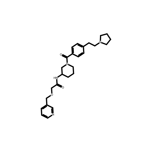 O=C(COCc1cccnc1)NC1CCCN(C(=O)c2ccc(CCN3CCCC3)cc2)C1